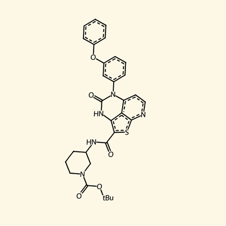 CC(C)(C)OC(=O)N1CCCC(NC(=O)c2sc3nccc4c3c2NC(=O)N4c2cccc(Oc3ccccc3)c2)C1